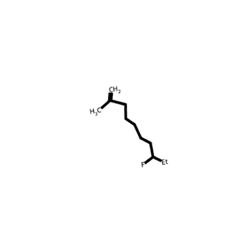 C=C(C)CCCCCC(F)CC